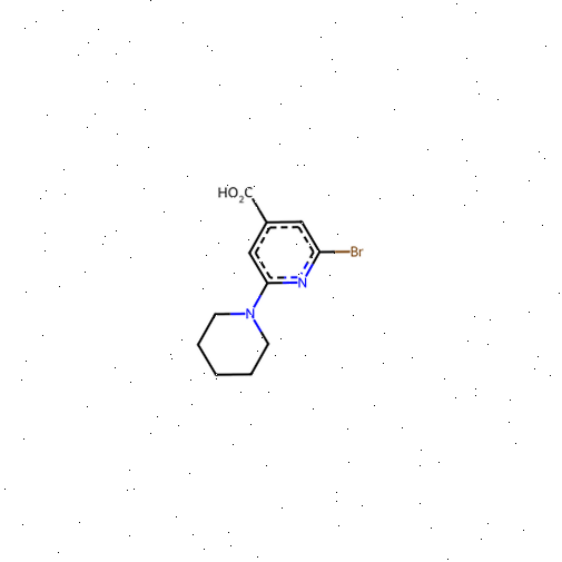 O=C(O)c1cc(Br)nc(N2CCCCC2)c1